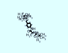 CC(NC(=O)OC(C)(C)C)C(=O)Nc1ccc(CO[Si](C)(C)C(C)(C)C)cc1